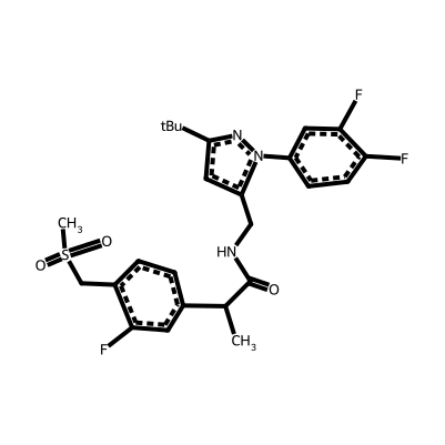 CC(C(=O)NCc1cc(C(C)(C)C)nn1-c1ccc(F)c(F)c1)c1ccc(CS(C)(=O)=O)c(F)c1